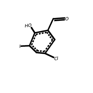 O=Cc1cc(Cl)cc(I)c1O